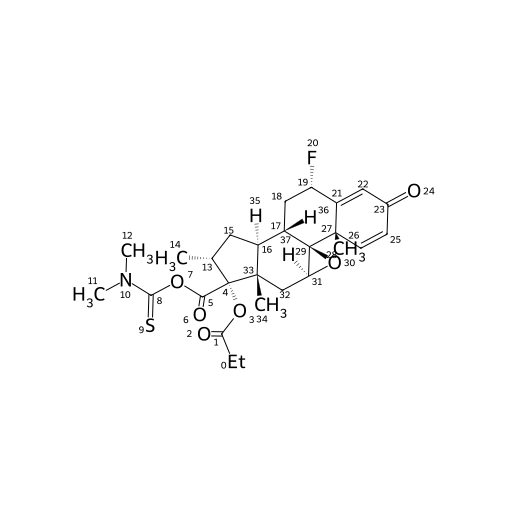 CCC(=O)O[C@]1(C(=O)OC(=S)N(C)C)[C@H](C)C[C@H]2[C@@H]3C[C@H](F)C4=CC(=O)C=C[C@]4(C)[C@@]34O[C@H]4C[C@@]21C